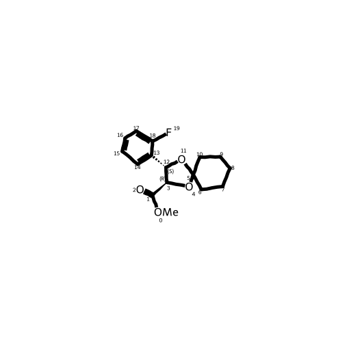 COC(=O)[C@@H]1OC2(CCCCC2)O[C@H]1c1ccccc1F